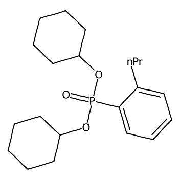 CCCc1ccccc1P(=O)(OC1CCCCC1)OC1CCCCC1